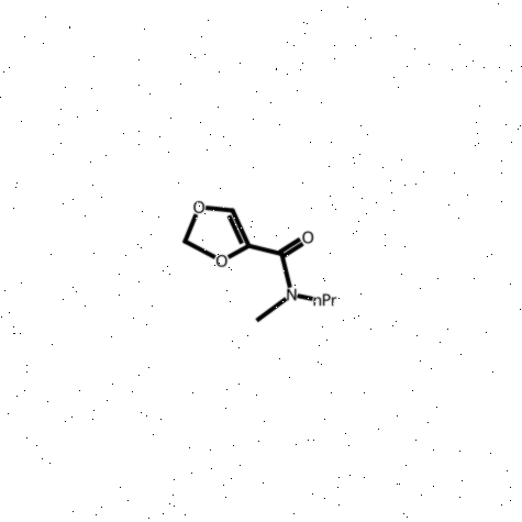 CCCN(C)C(=O)C1=COCO1